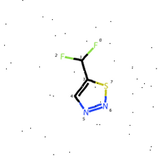 FC(F)c1[c]nns1